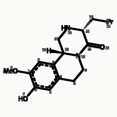 COc1cc2c(cc1O)CCN1C(=O)[C@@H](CC(C)C)NC[C@@H]21